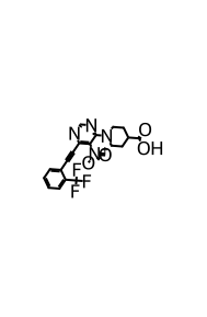 O=C(O)C1CCN(c2ncnc(C#Cc3ccccc3C(F)(F)F)c2[N+](=O)[O-])CC1